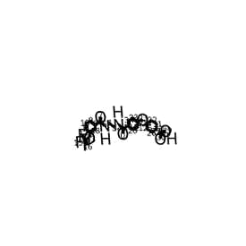 O=C(NCCNC(=O)c1cccc(OC(F)(F)F)c1)c1ccc(O[C@H]2CC[C@@H](C(=O)O)CC2)cc1